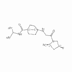 CCCC(CCC)NC(=O)C12CCC(NCC(=O)N3C[C@@H](F)C[C@H]3C#N)(CC1)CC2